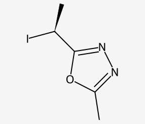 Cc1nnc([C@H](C)I)o1